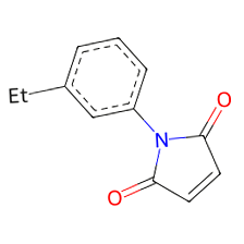 CCc1cccc(N2C(=O)C=CC2=O)c1